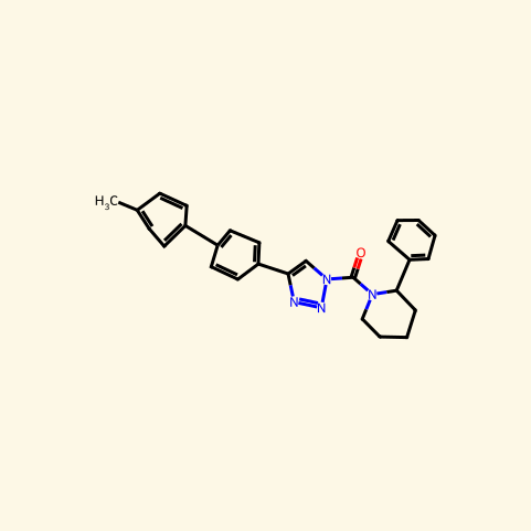 Cc1ccc(-c2ccc(-c3cn(C(=O)N4CCCCC4c4ccccc4)nn3)cc2)cc1